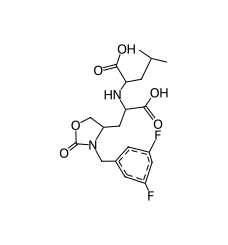 CC(C)CC(NC(CC1COC(=O)N1Cc1cc(F)cc(F)c1)C(=O)O)C(=O)O